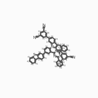 N#Cc1cc(C#N)cc(-c2ccc3c4ccc(-c5cc(C#N)cc(C#N)c5)cc4n(-c4ccc(-c5ccc6c(c5)sc5ccccc56)cc4-c4nc(-c5ccccc5)nc(-c5ccccc5)n4)c3c2)c1